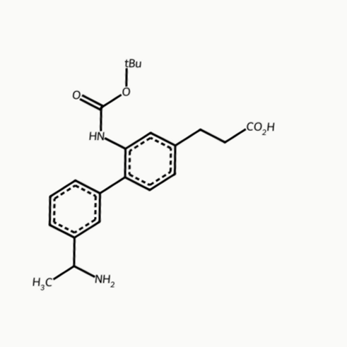 CC(N)c1cccc(-c2ccc(CCC(=O)O)cc2NC(=O)OC(C)(C)C)c1